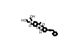 CC(c1ccc(C(=O)N(CCO)CCO)cc1)n1c(=O)[nH]c2ccc(C#CCc3ccccc3)cc2c1=O